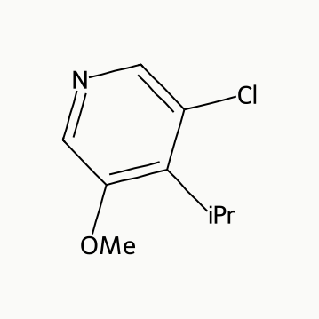 COc1cncc(Cl)c1C(C)C